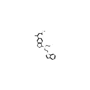 C/C(=C/C(=O)NO)c1ccc2c(c1)CCC2N(CCO)CCn1ccc2ccccc21